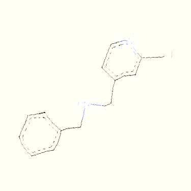 Cc1cc(CNCc2ccccc2)ccn1